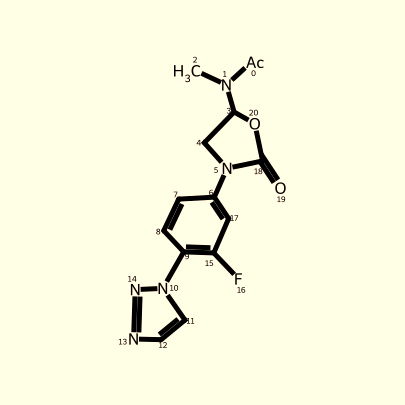 CC(=O)N(C)C1CN(c2ccc(-n3ccnn3)c(F)c2)C(=O)O1